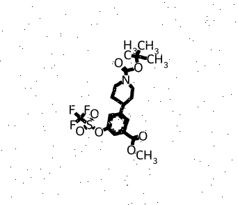 COC(=O)c1cc(OS(=O)(=O)C(F)(F)F)cc(C2CCN(C(=O)OC(C)(C)C)CC2)c1